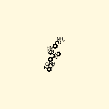 NC(=O)Cc1cccc(Nc2nccc(-c3c(-c4cccc(NC(=O)c5c(F)cccc5F)c4)nc4ccccn34)n2)c1